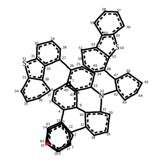 c1ccc(-c2ccccc2-c2c(-c3ccccc3)cccc2N(c2ccc(-c3cccc4sc5ccccc5c34)cc2)c2ccccc2-c2cccc3c2sc2ccccc23)cc1